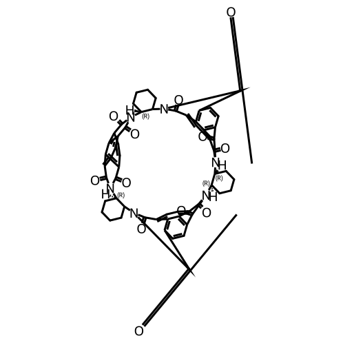 O=C1c2ccc3c4c5ccc(c24)C(=O)N1C1CCCC[C@H]1N1C(=O)c2ccc4c6c(ccc(c26)C1=O)C(=O)N(C4=O)[C@@H]1CCCCC1N1C(=O)c2ccc4c6c(ccc(c26)C1=O)C(=O)N(C4=O)[C@@H]1CCCC[C@H]1N(C3=O)C5=O